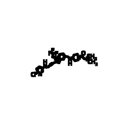 CN(C)CC(=O)N1CCC(NCc2ccc3c(c2)cc(C#CCNc2ccc(Cl)nc2)n3CC(F)(F)F)CC1